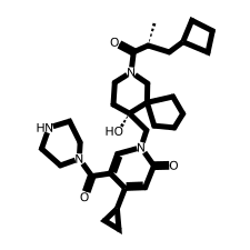 C[C@H](CC1CCC1)C(=O)N1CC[C@](O)(Cn2cc(C(=O)N3CCNCC3)c(C3CC3)cc2=O)C2(CCCC2)C1